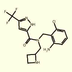 Nc1cccc(Cl)c1CN(CC1CCN1)C(=O)c1cc(C(F)(F)F)n[nH]1